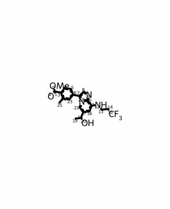 COC(=O)c1ccc(-c2cnc3c(NCCC(F)(F)F)cc(C(C)O)cn23)cc1C